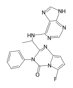 CC(Nc1ncnc2[nH]cnc12)c1nc2ccc(F)n2c(=O)n1-c1ccccc1